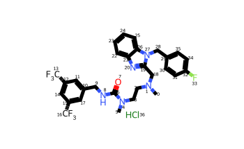 CN(CCN(C)C(=O)NCc1cc(C(F)(F)F)cc(C(F)(F)F)c1)Cc1nc2ccccc2n1Cc1ccc(F)cc1.Cl